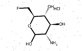 Cl.N[C@@H]1C(O)O[C@@H](CF)[C@H](O)[C@H]1O